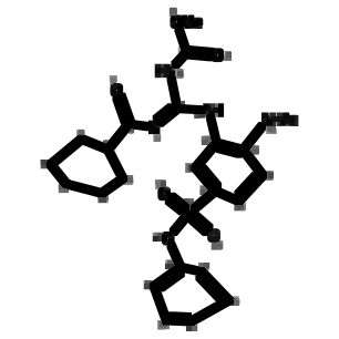 COC(=O)N/C(=N\C(=O)C1CCCCC1)Nc1cc(S(=O)(=O)Oc2ccccc2)ccc1NC(C)=O